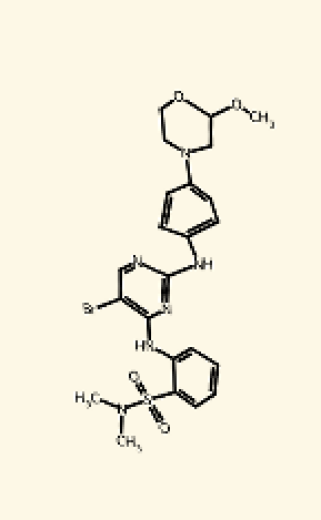 COC1CN(c2ccc(Nc3ncc(Br)c(Nc4ccccc4S(=O)(=O)N(C)C)n3)cc2)CCO1